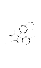 CN1C(=O)C(c2cccc(Br)c2)(c2ccc3c(c2)COCC3)NC1=S